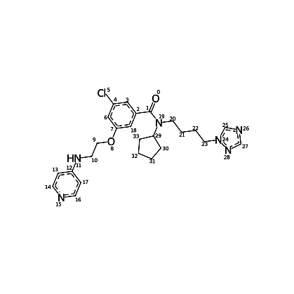 O=C(c1cc(Cl)cc(OCCNc2ccncc2)c1)N(CCCCn1cncn1)C1CCCC1